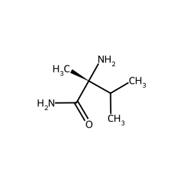 CC(C)[C@@](C)(N)C(N)=O